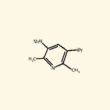 CNc1cc(C(C)C)c(C)nc1C